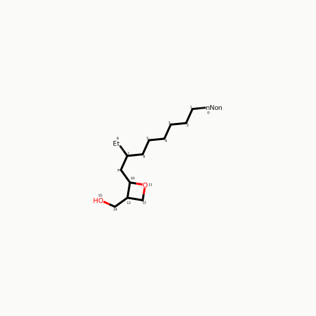 CCCCCCCCCCCCCCCC(CC)CC1OCC1CO